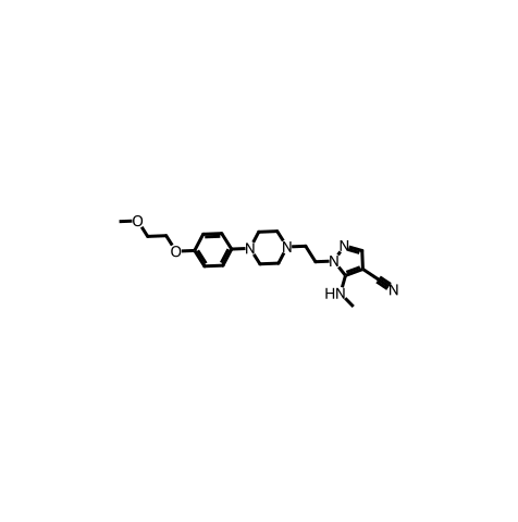 CNc1c(C#N)cnn1CCN1CCN(c2ccc(OCCOC)cc2)CC1